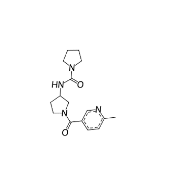 Cc1ccc(C(=O)N2CCC(NC(=O)N3CCCC3)C2)cn1